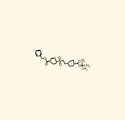 CC(C)(C)OC(=O)N1CCC(CCS(=O)(=O)C2CCN(C(=O)OCc3ccccc3)CC2)CC1